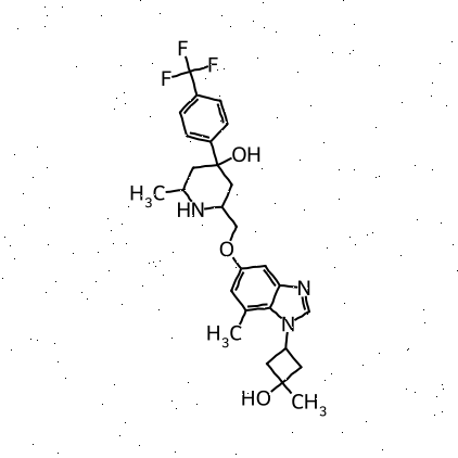 Cc1cc(OCC2CC(O)(c3ccc(C(F)(F)F)cc3)CC(C)N2)cc2ncn(C3CC(C)(O)C3)c12